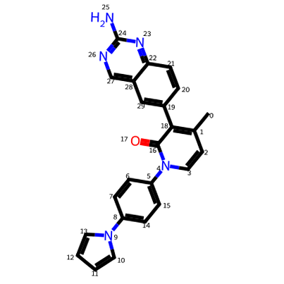 Cc1ccn(-c2ccc(-n3cccc3)cc2)c(=O)c1-c1ccc2nc(N)ncc2c1